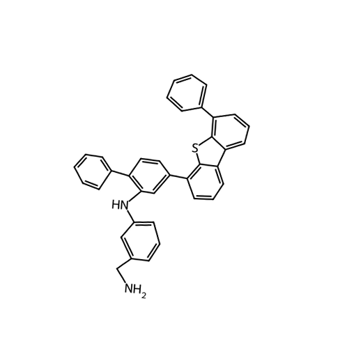 NCc1cccc(Nc2cc(-c3cccc4c3sc3c(-c5ccccc5)cccc34)ccc2-c2ccccc2)c1